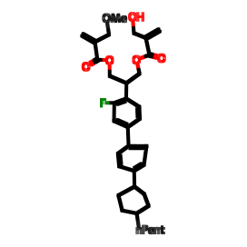 C=C(CO)C(=O)OCC(COC(=O)C(=C)COC)c1ccc(-c2ccc(C3CCC(CCCCC)CC3)cc2)cc1F